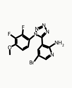 COc1ccc(-n2nnnc2-c2cc(Br)cnc2N)c(F)c1F